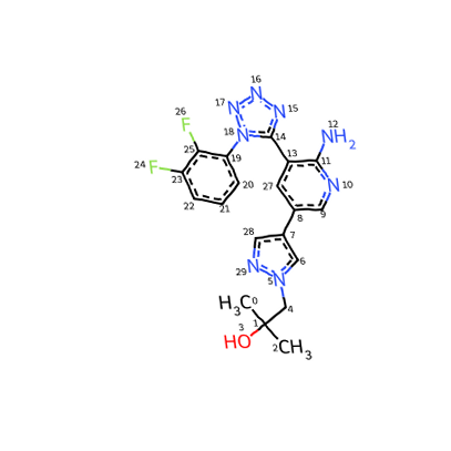 CC(C)(O)Cn1cc(-c2cnc(N)c(-c3nnnn3-c3cccc(F)c3F)c2)cn1